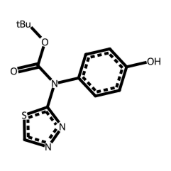 CC(C)(C)OC(=O)N(c1ccc(O)cc1)c1nncs1